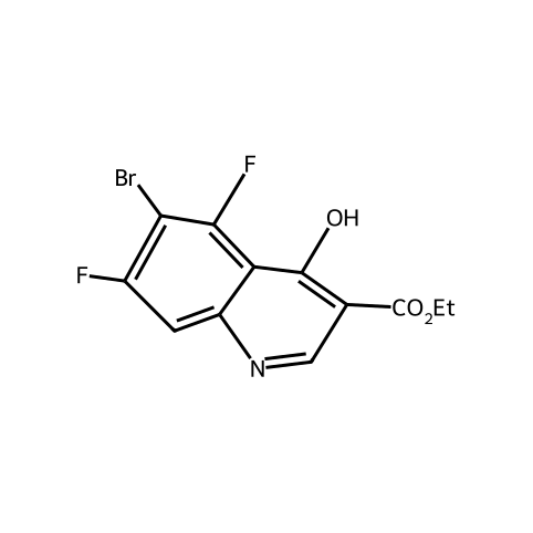 CCOC(=O)c1cnc2cc(F)c(Br)c(F)c2c1O